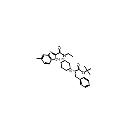 CCN(C(=O)c1nc2cc(C)ccc2[nH]1)[C@H]1CCC[C@@H](N(Cc2ccccc2)C(=O)OC(C)(C)C)C1